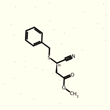 COC(=O)C[C@H](C#N)SCc1ccccc1